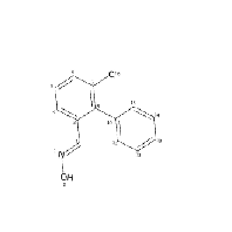 ON=Cc1cccc(Cl)c1-c1ccccc1